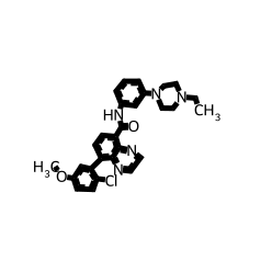 CCN1CCN(c2cccc(NC(=O)c3ccc(-c4cc(OC)ccc4Cl)c4nccnc34)c2)CC1